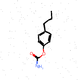 CCCc1ccc(OC(N)=O)cc1